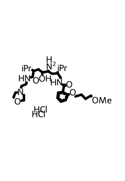 COCCCCOc1ccccc1C(=O)NCC(CC(N)C(O)CC(C(=O)NCCN1CCOCC1)C(C)C)C(C)C.Cl.Cl